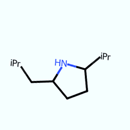 CC(C)CC1CCC(C(C)C)N1